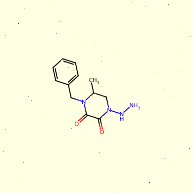 CC1CN(NN)C(=O)C(=O)N1Cc1ccccc1